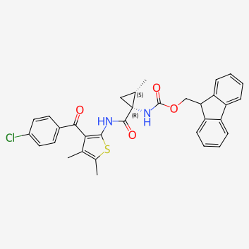 Cc1sc(NC(=O)[C@@]2(NC(=O)OCC3c4ccccc4-c4ccccc43)C[C@@H]2C)c(C(=O)c2ccc(Cl)cc2)c1C